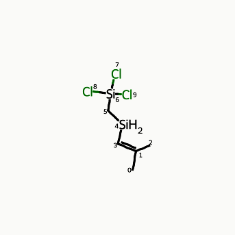 CC(C)=C[SiH2]C[Si](Cl)(Cl)Cl